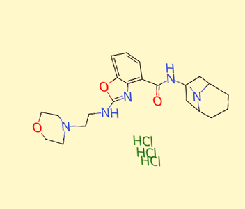 CN1C2CCCC1CC(NC(=O)c1cccc3oc(NCCN4CCOCC4)nc13)C2.Cl.Cl.Cl